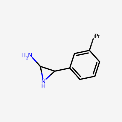 CC(C)c1cccc(C2NC2N)c1